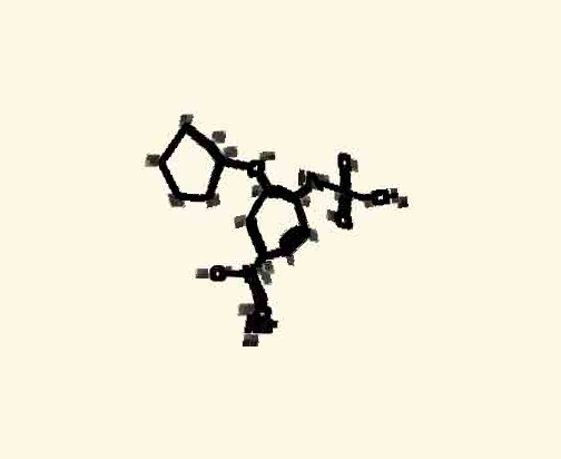 CS(=O)(=O)Nc1ccc([N+](=O)[O-])cc1OC1CCCCC1.[Na]